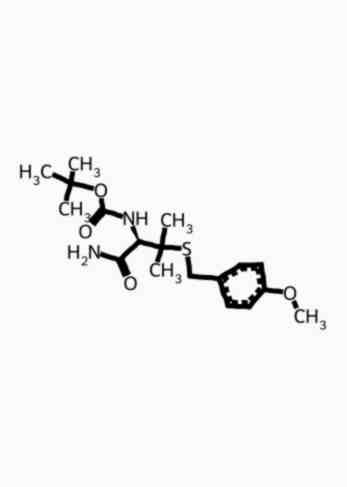 COc1ccc(CSC(C)(C)[C@H](NC(=O)OC(C)(C)C)C(N)=O)cc1